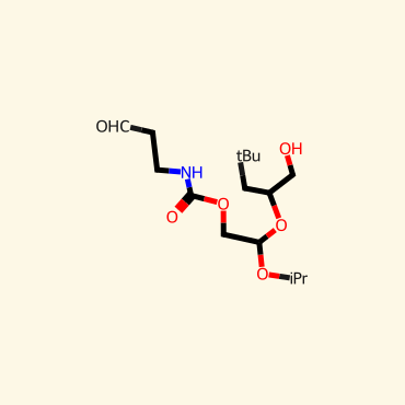 CC(C)OC(COC(=O)NCCC=O)OC(CO)CC(C)(C)C